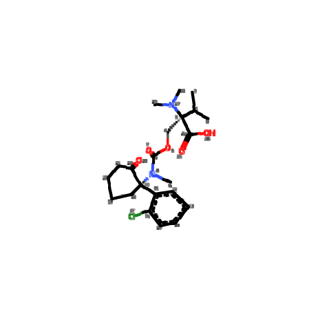 CC(C)[C@@](COC(=O)N(C)[C@]1(c2ccccc2Cl)CCCCC1=O)(C(=O)O)N(C)C